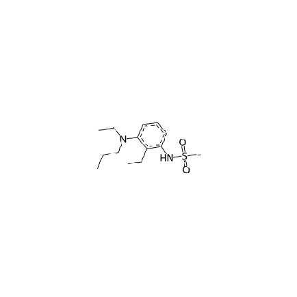 CCCN(CC)c1cccc(NS(C)(=O)=O)c1CC